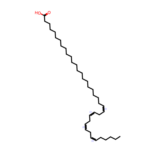 CCCCC/C=C\C/C=C\C/C=C\C/C=C\CCCCCCCCCCCCCCCCCCCCCC(=O)O